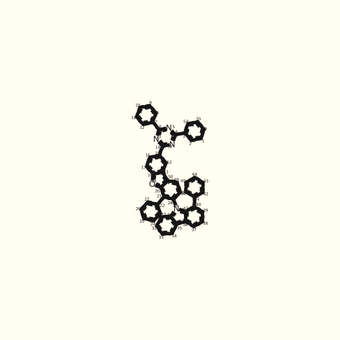 c1ccc(-c2nc(-c3ccccc3)nc(-c3ccc4oc5c(-c6ccccc6)c(-n6c7ccccc7c7cccc(-c8ccccc8)c76)ccc5c4c3)n2)cc1